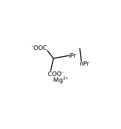 CC(C)C(C(=O)[O-])C(=O)[O-].CCCC.[Mg+2]